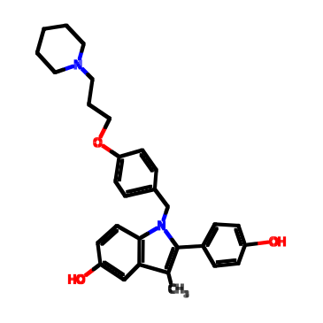 Cc1c(-c2ccc(O)cc2)n(Cc2ccc(OCCCN3CCCCC3)cc2)c2ccc(O)cc12